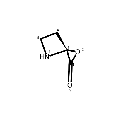 O=C1O[C@]12CCN2